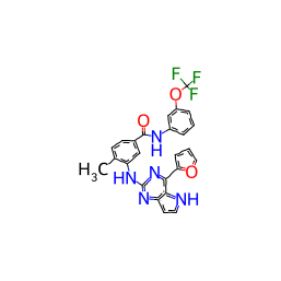 Cc1ccc(C(=O)Nc2cccc(OC(F)(F)F)c2)cc1Nc1nc(-c2ccco2)c2[nH]ccc2n1